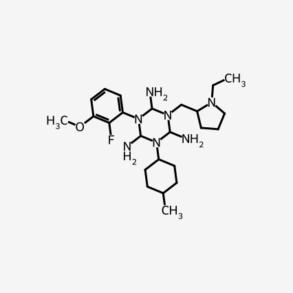 CCN1CCCC1CN1C(N)N(c2cccc(OC)c2F)C(N)N(C2CCC(C)CC2)C1N